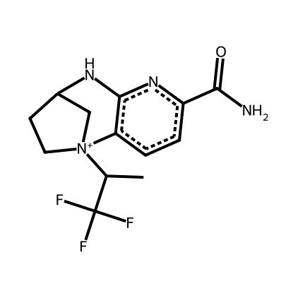 CC(C(F)(F)F)[N+]12CCC(C1)Nc1nc(C(N)=O)ccc12